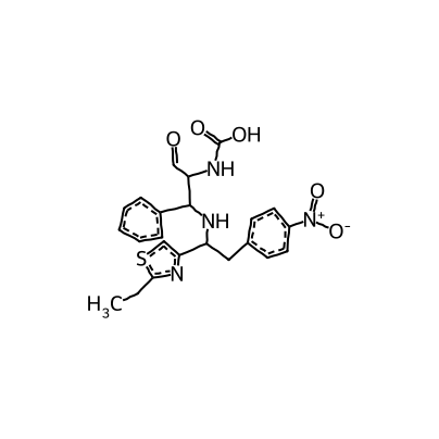 CCc1nc(C(Cc2ccc([N+](=O)[O-])cc2)NC(c2ccccc2)C(C=O)NC(=O)O)cs1